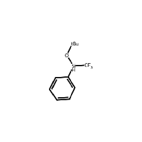 CC(C)(C)O[SiH](c1ccccc1)C(F)(F)F